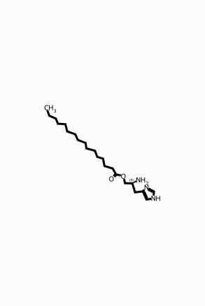 CCCCCCCCCCCCCCCC(=O)OC[C@@H](N)Cc1c[nH]cn1